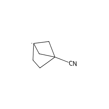 N#CC12CC[C](C1)C2